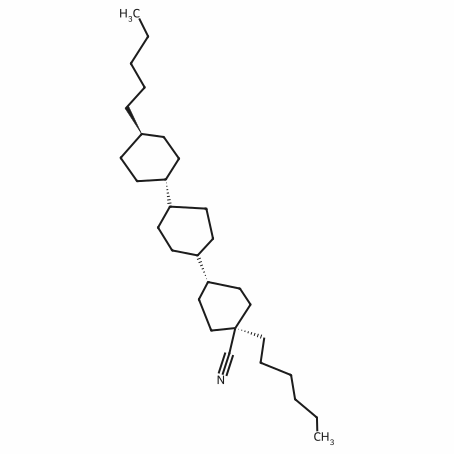 CCCCCC[C@]1(C#N)CC[C@H](C2CCC([C@H]3CC[C@H](CCCCC)CC3)CC2)CC1